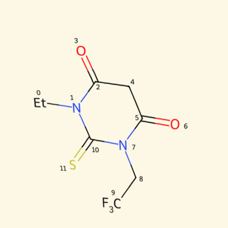 CCN1C(=O)CC(=O)N(CC(F)(F)F)C1=S